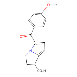 CCOc1ccc(C(=O)c2ccc3n2CCC3C(=O)O)cc1